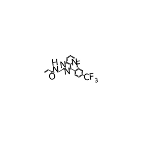 C=CC(=O)NCc1nc(-c2ccc(C(F)(F)F)cc2F)c2ncccc2n1